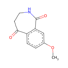 COc1ccc2c(c1)C(=O)NCCC2=O